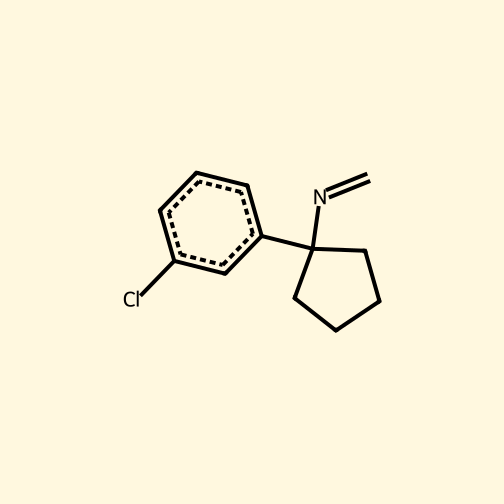 C=NC1(c2cccc(Cl)c2)CCCC1